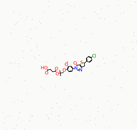 COc1cc(-n2cnc3c(c2=O)SC(c2ccc(Cl)cc2)C3)ccc1OCC(C)(C)OC(=O)CCC(=O)O